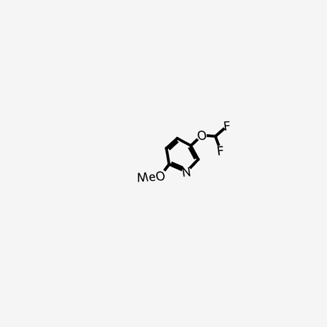 COc1ccc(OC(F)F)cn1